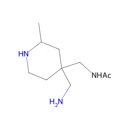 CC(=O)NCC1(CN)CCNC(C)C1